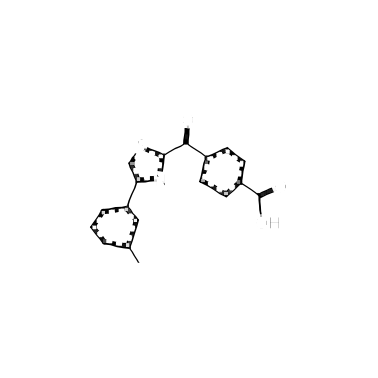 Cc1cccc(-c2csc(C(=O)c3ccc(C(=O)O)cc3)n2)c1